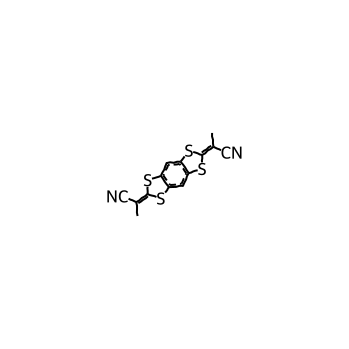 CC(C#N)=C1Sc2cc3c(cc2S1)SC(=C(C)C#N)S3